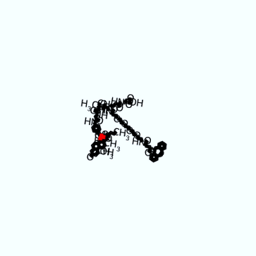 CCCC1O[C@@H]2CC3[C@@H]4CCC5=CC(=O)C=C[C@]5(C)C4[C@@H](O)C[C@]3(C)[C@]2(C(=O)COc2ccc(NC(=O)CNC(=O)C(NC(=O)[C@@H](CCCC(=O)NCCS(=O)(=O)O)NC(=O)CCOCCOCCOCCOCCNC(=O)CCC(=O)N3Cc4ccccc4C#Cc4ccccc43)C(C)C)cc2)O1